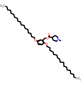 CN1CCC(C(=O)OCc2cc(OCCCCCCCCCCCCCCCCCC(=O)O)ccc2OCCCCCCCCCCCCCCCCCC(=O)O)CC1